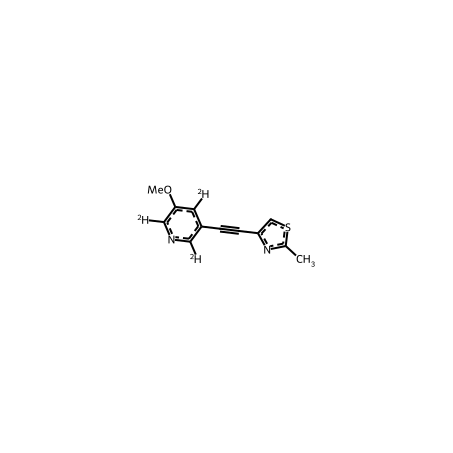 [2H]c1nc([2H])c(OC)c([2H])c1C#Cc1csc(C)n1